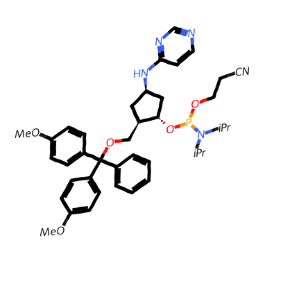 COc1ccc(C(OC[C@H]2C[C@@H](Nc3ccncn3)C[C@@H]2OP(OCCC#N)N(C(C)C)C(C)C)(c2ccccc2)c2ccc(OC)cc2)cc1